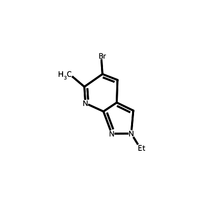 CCn1cc2cc(Br)c(C)nc2n1